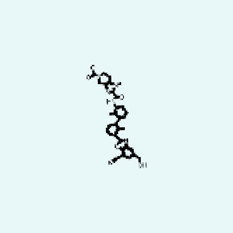 Cc1c(NC(=O)c2nc3c(n2C)CCN(C(=O)O)C3)cccc1-c1cccc(-c2nc3cc(CO)cc(C#N)c3o2)c1C